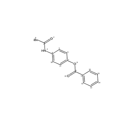 CCC(C)C(=O)Nc1ccc(OC(=O)c2ccccc2)cc1